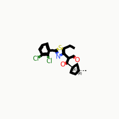 CCc1sc(-c2cccc(Cl)c2Cl)nc1C(C=O)C(=O)[C@@H]1CC[C@@H](C)C1